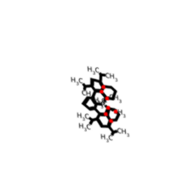 CC(C)c1cc(C(C)C)c(-c2cccc(-c3c(C(C)C)cc(C(C)C)cc3C(C)C)c2P(C2CCCCC2)C2CCCCC2)c(C(C)C)c1